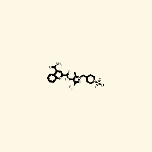 CCS(=O)(=O)N1CCC(Cn2nc(C(F)(F)F)c(NC(=O)c3cc(C(N)=O)c4ccccc4n3)c2C)CC1